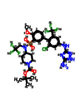 COc1ccc(-c2c(Cl)cc(Nc3n[nH]c(N)n3)cc2C(F)(F)F)cc1S(=O)(=O)N(CC(F)(F)F)C1CCN(C(=O)OC(C)(C)C)CC1